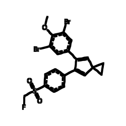 COc1c(Br)cc(C2=CC3(C=C2c2ccc(S(=O)(=O)CF)cc2)CC3)cc1Br